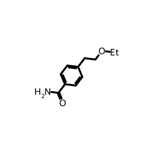 CCOCCc1ccc(C(N)=O)cc1